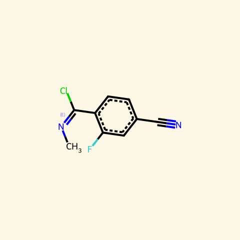 C/N=C(/Cl)c1ccc(C#N)cc1F